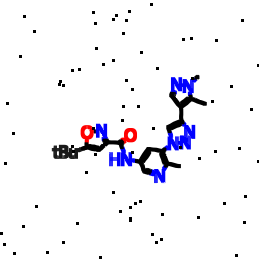 Cc1ncc(NC(=O)c2cc(C(C)(C)C)on2)cc1-n1cc(-c2cnn(C)c2C)nn1